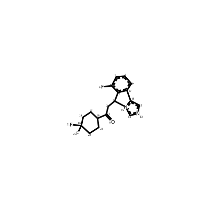 O=C(CC1c2c(F)cccc2-c2cncn21)C1CCC(F)(F)CC1